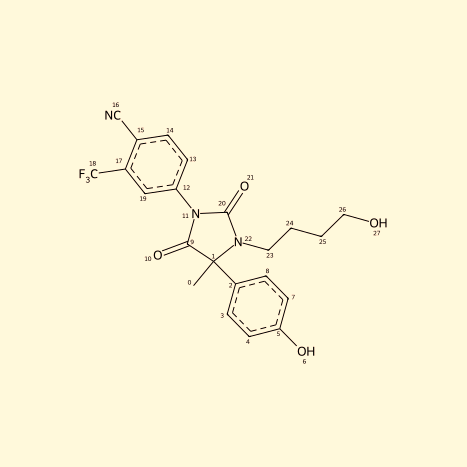 CC1(c2ccc(O)cc2)C(=O)N(c2ccc(C#N)c(C(F)(F)F)c2)C(=O)N1CCCCO